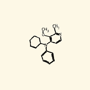 COc1c(N(c2ccccc2)C2CCCCC2)ccnc1C